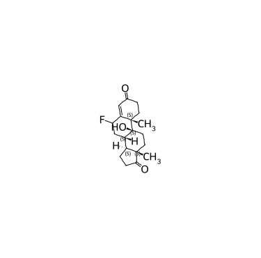 C[C@]12CCC(=O)C=C1C(F)C[C@H]1[C@@H]3CCC(=O)[C@@]3(C)CC[C@]12O